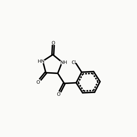 O=C1NC(=O)C(C(=O)c2ccccc2Cl)N1